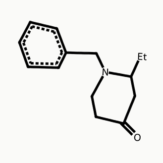 CCC1CC(=O)CCN1Cc1ccccc1